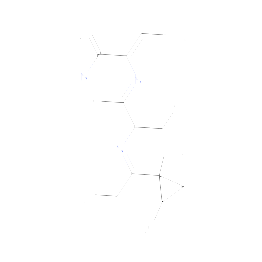 C=C(N)C(=C/C)/N=C(\C)C(CC)/N=C(/CC)C1(C)CC1C